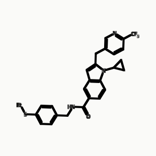 CCSc1ccc(CNC(=O)c2ccc3c(c2)cc(Cc2ccc(C(F)(F)F)nc2)n3C2CC2)cc1